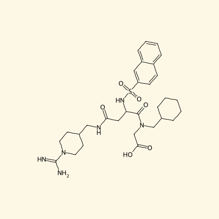 N=C(N)N1CCC(CNC(=O)CC(NS(=O)(=O)c2ccc3ccccc3c2)C(=O)N(CC(=O)O)CC2CCCCC2)CC1